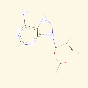 CCC(O)O[C@H]([C@H](C)F)n1cnc2c(N)nc(C=O)nc21